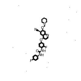 N#Cc1cc2c(Oc3ccc(NC(=O)Nc4ccc(F)cc4)c(F)c3)ccnc2cc1OCN1CCCCC1